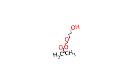 C=C(C)C(=O)OCCOCCCCO